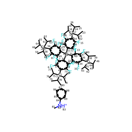 CC(C)[Si](c1c(F)c(F)c([B-](c2c(F)c(F)c([Si](C(C)C)(C(C)C)C(C)C)c(F)c2F)(c2c(F)c(F)c([Si](C(C)C)(C(C)C)C(C)C)c(F)c2F)c2c(F)c(F)c([Si](C(C)C)(C(C)C)C(C)C)c(F)c2F)c(F)c1F)(C(C)C)C(C)C.C[NH+](C)c1ccccc1